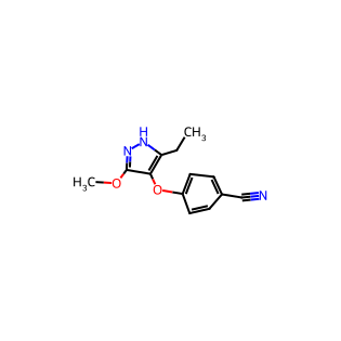 CCc1[nH]nc(OC)c1Oc1ccc(C#N)cc1